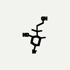 Cc1cc(Br)cc(O)c1C(C)(C)CCO